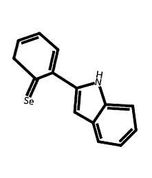 [Se]=C1CC=CC=C1c1cc2ccccc2[nH]1